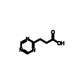 O=C(O)CCc1ncncn1